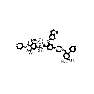 Cn1cnc2c(NCC3CCOCC3)c([N+](=O)[O-])cc(S(=O)(=O)NC(=O)c3ccc(N4CCN(CC5=C(c6ccc(Cl)cc6)CC(C)(C)CC5)CC4)cc3Oc3cnc4[nH]ccc4c3)c21